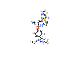 CCn1nc(C(F)(F)F)cc1-c1ccc(Oc2ncc(S(=O)(=O)Nc3nccs3)cc2C#N)cc1